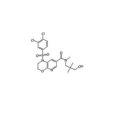 CN(CC(C)(C)CO)C(=O)c1cnc2c(c1)N(S(=O)(=O)c1ccc(Cl)c(Cl)c1)CCO2